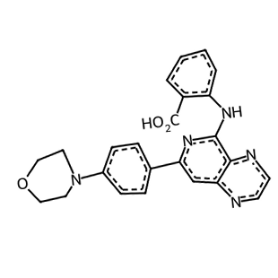 O=C(O)c1ccccc1Nc1nc(-c2ccc(N3CCOCC3)cc2)cc2nccnc12